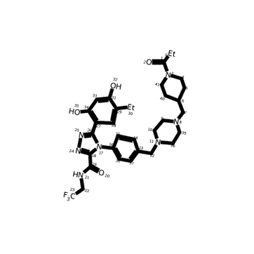 CCC(=O)N1CCC(CN2CCN(Cc3ccc(-n4c(C(=O)NCC(F)(F)F)nnc4-c4cc(CC)c(O)cc4O)cc3)CC2)CC1